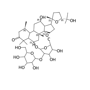 C[C@@H]1CC(=O)C(C)(C)C2C1C1C[C@@H](O)C3C([C@]4(C)CC[C@H](C(C)(C)O)O4)CC[C@]34OCC3OC(O[C@H]2C[C@]14C)C(OC1OC(CO)C(O)C(O)C1O)C(O)C3O